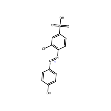 O=S(=O)(O)c1ccc(/N=N/c2ccc(O)cc2)c(Cl)c1